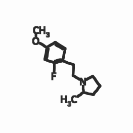 COc1ccc(CCN2CCCC2C)c(F)c1